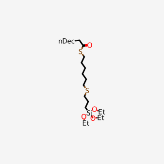 CCCCCCCCCCCC(=O)SCCCCCCSCCC[Si](OCC)(OCC)OCC